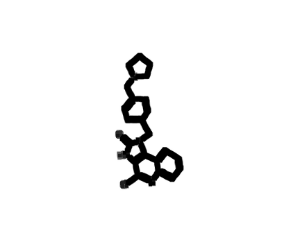 O=c1[nH]c2c(Cl)nc3ccccc3c2n1Cc1ccc(CN2CCCC2)cc1